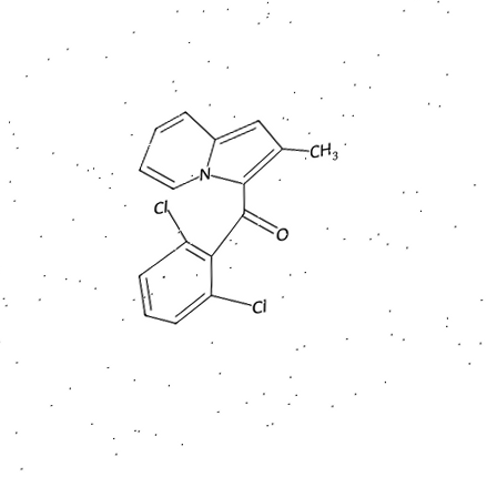 Cc1cc2ccccn2c1C(=O)c1c(Cl)cccc1Cl